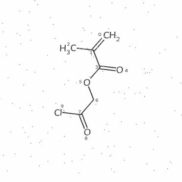 C=C(C)C(=O)OCC(=O)Cl